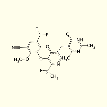 COc1c(C#N)cc(C(F)F)cc1Oc1c([C@H](C)F)ncn(Cc2c(C)nc(C)[nH]c2=O)c1=O